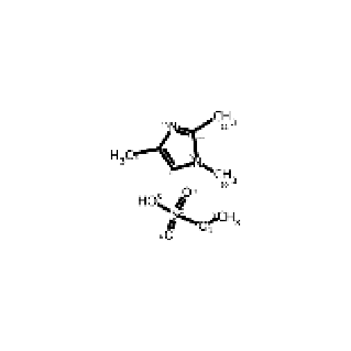 COS(=O)(=O)O.Cc1cn(C)c(C)n1